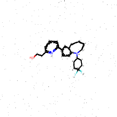 OCCc1cccc(-c2ccc3c(c2)CCCCN3C2CCC(F)(F)CC2)n1